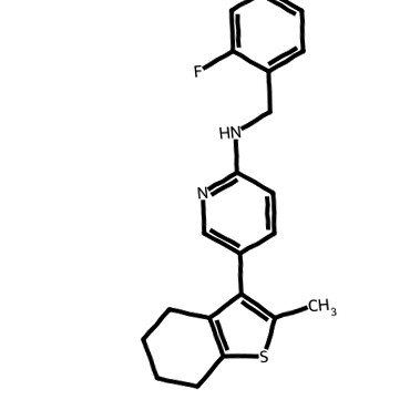 Cc1sc2c(c1-c1ccc(NCc3ccccc3F)nc1)CCCC2